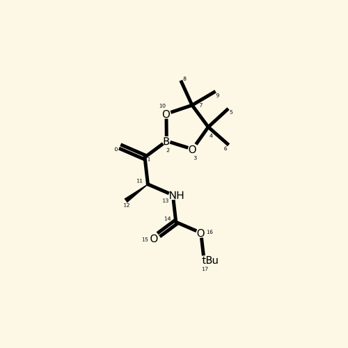 C=C(B1OC(C)(C)C(C)(C)O1)[C@H](C)NC(=O)OC(C)(C)C